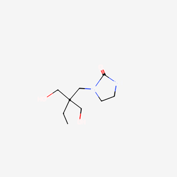 CCC(CO)(CO)CN1CCNC1=O